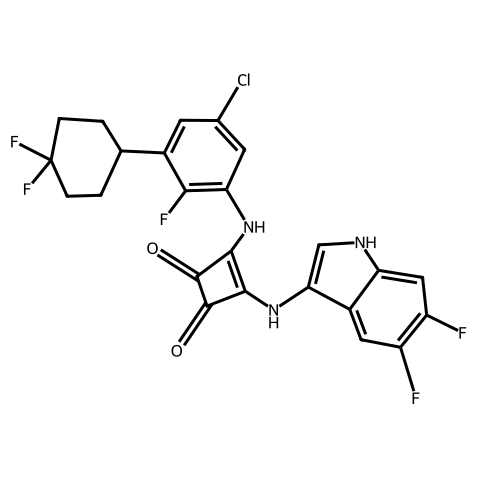 O=c1c(Nc2cc(Cl)cc(C3CCC(F)(F)CC3)c2F)c(Nc2c[nH]c3cc(F)c(F)cc23)c1=O